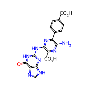 Nc1nc(C(=O)O)c(Nc2nc3[nH]cnc3c(=O)[nH]2)nc1-c1ccc(C(=O)O)cc1